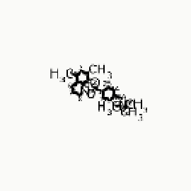 Cc1cc(C)c2cccnc2c1OC(=O)c1ccc(C[N+](C)(C)C)cc1